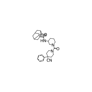 N#CC1(c2ccccc2)CCN(C(=O)N2CCCC(NC(=O)C34CC5CC(C3)C(O)C(C5)C4)C2)CC1